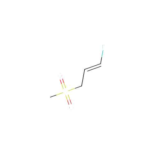 CS(=O)(=O)CC=CF